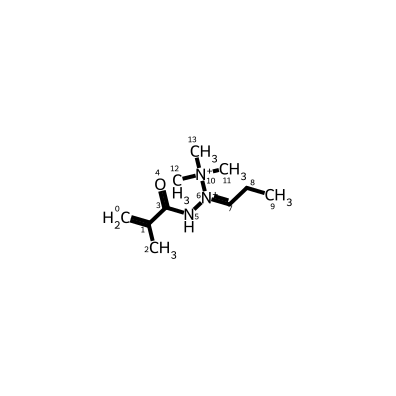 C=C(C)C(=O)N[N+](=CCC)[N+](C)(C)C